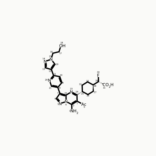 CC(=O)c1c(N)n2ncc(-c3ccc(-c4cnn(CCO)c4)nc3)c2nc1[C@H]1CC[C@H]([C@H](F)C(=O)O)CC1